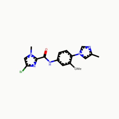 COc1cc(NC(=O)c2nc(Br)cn2C)ccc1-n1cnc(C)c1